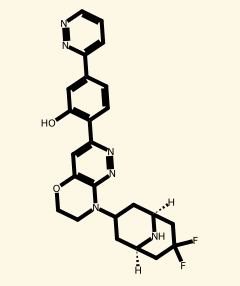 Oc1cc(-c2cccnn2)ccc1-c1cc2c(nn1)N(C1C[C@@H]3CC(F)(F)C[C@H](C1)N3)CCO2